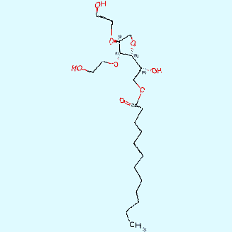 CCCCCCCCCCCC(=O)OC[C@@H](O)[C@H]1OC[C@H](OCCO)[C@H]1OCCO